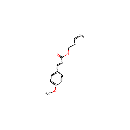 C=CCCOC(=O)C=Cc1ccc(OC)cc1